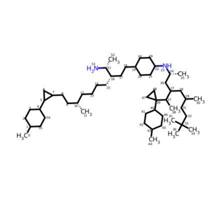 CC1CCC(C2CC2CC[C@@H](C)CCCC[C@@H](CCC2CCC(N[C@H](C)CC(CC(C)CCC(C)(C)C)C(C)C3(C4CCC(C)CC4)CC3)CC2)[C@@H](C)N)CC1